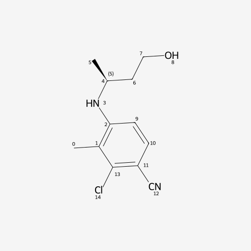 Cc1c(N[C@@H](C)CCO)ccc(C#N)c1Cl